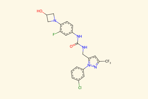 O=C(NCc1cc(C(F)(F)F)nn1-c1cccc(Cl)c1)Nc1ccc(N2CC(O)C2)c(F)c1